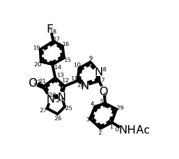 CC(=O)Nc1cccc(Oc2nccc(-c3c(-c4ccc(F)cc4)c(=O)n4n3CCC4)n2)c1